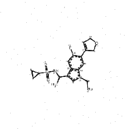 CC(NS(=O)(=O)C1CC1)c1cn(CC(C)(C)C)c2cc(C3=CCOC3)c(F)cc12